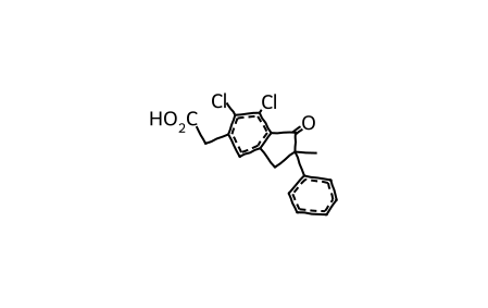 CC1(c2ccccc2)Cc2cc(CC(=O)O)c(Cl)c(Cl)c2C1=O